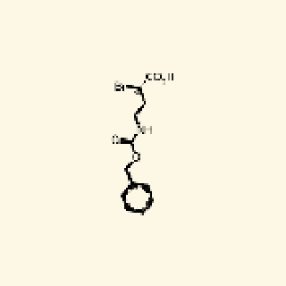 O=C(NCC[C@H](Br)C(=O)O)OCc1ccccc1